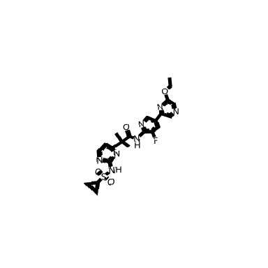 CCOc1cncc(-c2cnc(NC(=O)C(C)(C)c3ccnc(NS(=O)(=O)C4CC4)n3)c(F)c2)n1